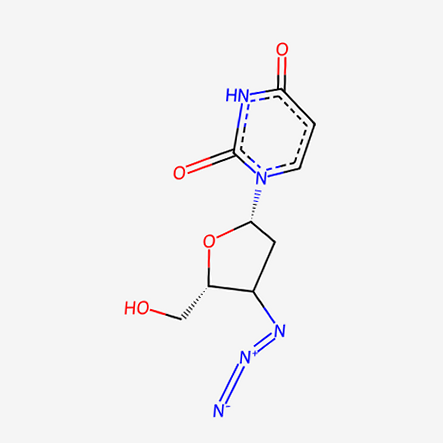 [N-]=[N+]=NC1C[C@@H](n2ccc(=O)[nH]c2=O)O[C@H]1CO